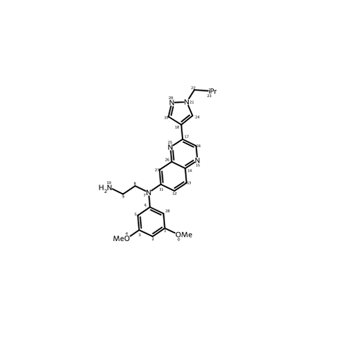 COc1cc(OC)cc(N(CCN)c2ccc3ncc(-c4cnn(CC(C)C)c4)nc3c2)c1